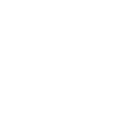 C=C(CCC=C(C)CCC=C(C)C)CCCC(=O)OCC=O